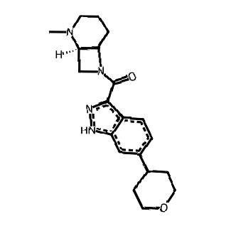 CN1CCCC2[C@H]1CN2C(=O)c1n[nH]c2cc(C3CCOCC3)ccc12